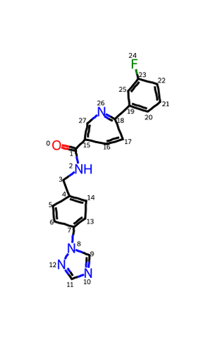 O=C(NCc1ccc(-n2cncn2)cc1)c1ccc(-c2cccc(F)c2)nc1